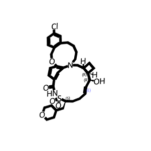 O=C1NS(=O)(=O)[C@H](CC2CCOCC2)CC/C=C/[C@H](O)[C@@H]2CC[C@H]2CN2CCCCc3cc(Cl)ccc3COc3ccc1cc32